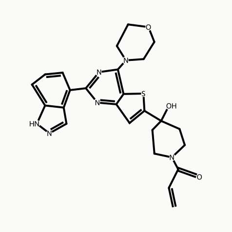 C=CC(=O)N1CCC(O)(c2cc3nc(-c4cccc5[nH]ncc45)nc(N4CCOCC4)c3s2)CC1